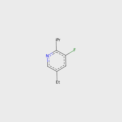 CCc1cnc(C(C)C)c(F)c1